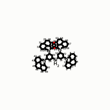 c1cc2ccc3cccc4c3c2c(c1)n4-c1cc([SiH2]c2cc(-n3c4cccc5ccc6cccc3c6c54)cc(-n3c4cccc5ccc6cccc3c6c54)c2)cc(-n2c3cccc4ccc5cccc2c5c43)c1